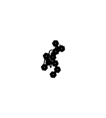 c1ccc(-c2cccc(-c3ccc(-c4ccc5oc6cc7c(cc6c5c4)c4ccccc4n7-c4ccccc4)c(-c4nc(-c5ccccc5)nc(-c5ccccc5)n4)c3)c2)cc1